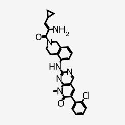 Cn1c(=O)c(-c2ccccc2Cl)cc2cnc(Nc3cccc4c3CCN(C(=O)C(N)=CC3CC3)C4)nc21